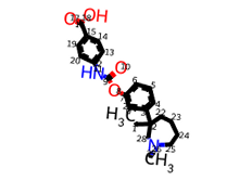 CCC1(c2cccc(OC(=O)Nc3ccc(C(=O)O)cc3)c2)CCCCN(C)C1